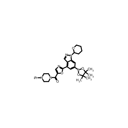 CC(C)N1CCN(C(=O)c2cnc(-c3cc(B4OC(C)(C)C(C)(C)O4)cc4c3cnn4C3CCCCO3)o2)CC1